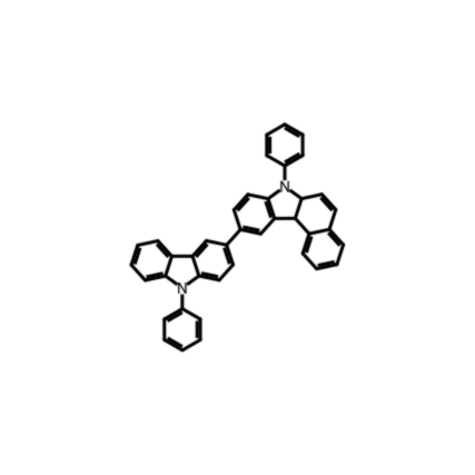 C1=CC2C(c3ccccc31)c1cc(-c3ccc4c(c3)c3ccccc3n4-c3ccccc3)ccc1N2c1ccccc1